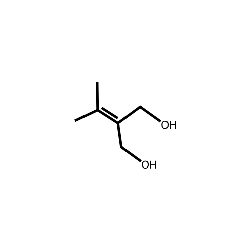 CC(C)=C(CO)CO